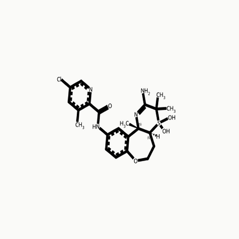 Cc1cc(Cl)cnc1C(=O)Nc1ccc2c(c1)[C@]1(C)N=C(N)C(C)(C)S(O)(O)[C@H]1CCO2